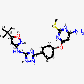 CSc1nc(N)cc(Oc2ccc(-c3nnc(Nc4cc(C(C)(C)C)on4)[nH]3)cc2)n1